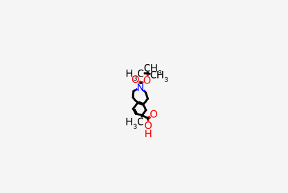 CC(C)(C)OC(=O)N1CCC2=C(CC1)CC(C)(C(=O)O)C=C2